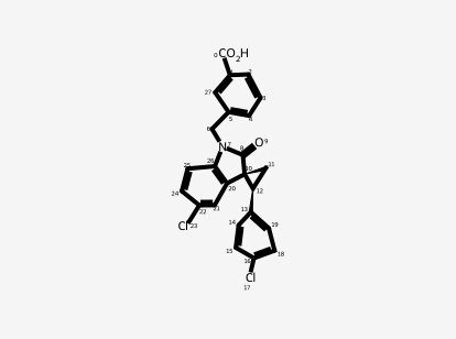 O=C(O)c1cccc(CN2C(=O)[C@@]3(C[C@H]3c3ccc(Cl)cc3)c3cc(Cl)ccc32)c1